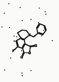 O=C1OC(=O)c2c1c(F)cc1c2N(Cc2ccccc2)CCC1